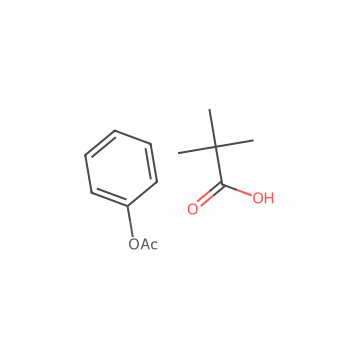 CC(=O)Oc1ccccc1.CC(C)(C)C(=O)O